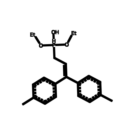 CCO[PH](O)(CC=C(c1ccc(C)cc1)c1ccc(C)cc1)OCC